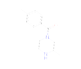 Cc1ccc(C(=O)N2CCNC(C)C2)cc1